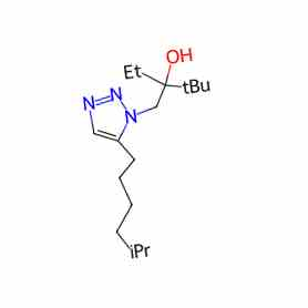 CCC(O)(Cn1nncc1CCCCC(C)C)C(C)(C)C